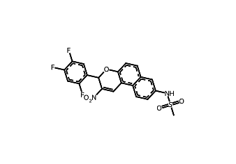 CS(=O)(=O)Nc1ccc2c3c(ccc2c1)OC(c1cc(F)c(F)cc1F)C([N+](=O)[O-])=C3